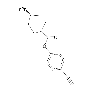 C#Cc1ccc(OC(=O)[C@H]2CC[C@H](CCC)CC2)cc1